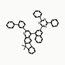 CC1(C)c2ccccc2-c2cc3c(-c4cc(-c5nc(-c6ccccc6)nc(-c6ccccc6)n5)cc5ccccc45)cc(-c4cccc(-c5ccccc5)c4)nc3cc21